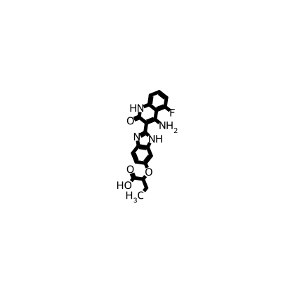 CCC(Oc1ccc2nc(-c3c(N)c4c(F)cccc4[nH]c3=O)[nH]c2c1)C(=O)O